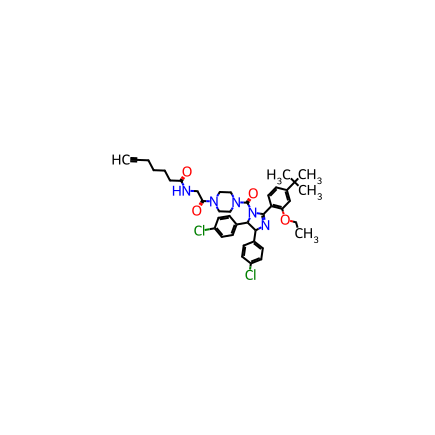 C#CCCCCC(=O)NCC(=O)N1CCN(C(=O)N2C(c3ccc(C(C)(C)C)cc3OCC)=NC(c3ccc(Cl)cc3)C2c2ccc(Cl)cc2)CC1